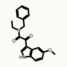 CCN(Cc1ccccc1)C(=O)C(=O)c1c[nH]c2ccc(OC)cc12